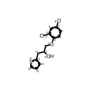 OC(COc1ccc(Cl)cc1Cl)Cc1cccs1